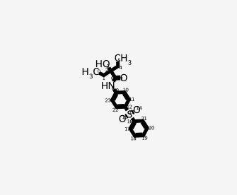 CCC(O)(CC)C(=O)Nc1ccc(S(=O)(=O)c2ccccc2)cc1